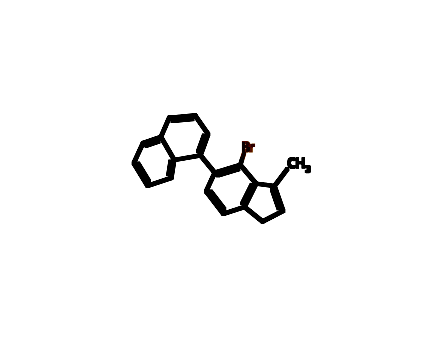 CC1=CCc2ccc(-c3cccc4ccccc34)c(Br)c21